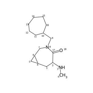 CNC1CC2CC2CN(CC2CCCCCC2)C1=O